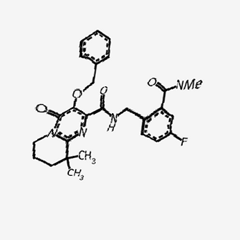 CNC(=O)c1cc(F)ccc1CNC(=O)c1nc2n(c(=O)c1OCc1ccccc1)CCCC2(C)C